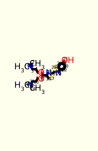 CN(C)CCCOC(OCCCN(C)C)C1CSC(c2nc3ccc(O)cc3s2)=N1